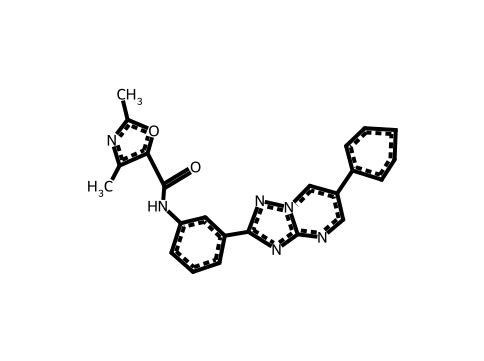 Cc1nc(C)c(C(=O)Nc2cccc(-c3nc4ncc(-c5ccccc5)cn4n3)c2)o1